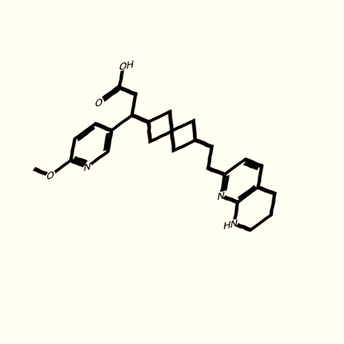 COc1ccc(C(CC(=O)O)C2CC3(CC(CCc4ccc5c(n4)NCCC5)C3)C2)cn1